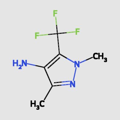 Cc1nn(C)c(C(F)(F)F)c1N